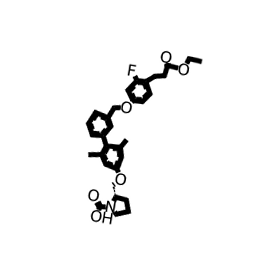 CCOC(=O)CCc1ccc(OCc2cccc(-c3c(C)cc(OC[C@@H]4CCCN4C(=O)O)cc3C)c2)cc1F